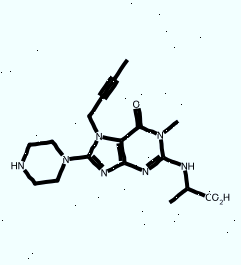 CC#CCn1c(N2CCNCC2)nc2nc(NC(C)C(=O)O)n(C)c(=O)c21